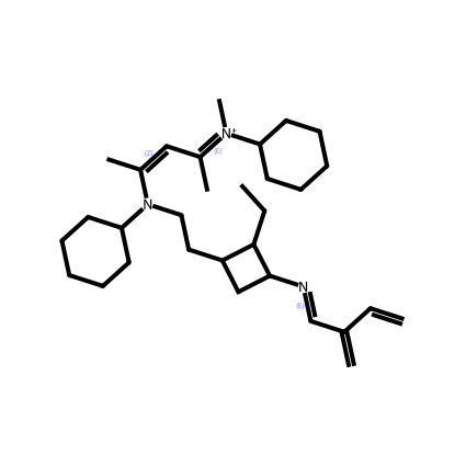 C=CC(=C)/C=N/C1CC(CCN(/C(C)=C\C(C)=[N+](/C)C2CCCCC2)C2CCCCC2)C1CC